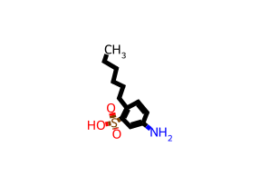 CCCCCCc1ccc(N)cc1S(=O)(=O)O